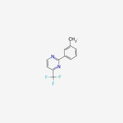 [CH2]c1cccc(-c2nccc(C(F)(F)F)n2)c1